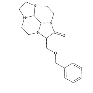 O=C1C(COCc2ccccc2)N2CCN3CCN4CCN1C2C43